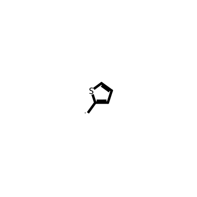 [CH2]c1cccs1